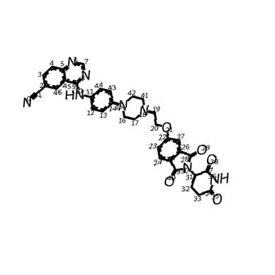 N#Cc1ccc2ncnc(Nc3ccc(N4CCN(CCOc5ccc6c(c5)C(=O)N(C5CCC(=O)NC5=O)C6=O)CC4)cc3)c2c1